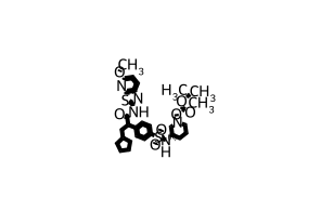 COc1ccc2nc(NC(=O)C(CC3CCCC3)c3ccc(S(=O)(=O)N[C@@H]4CCCN(OC(=O)OC(C)(C)C)C4)cc3)sc2n1